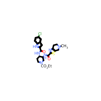 CCOC(=O)N1CC[C@H](NC(=O)c2cc3cc(Cl)ccc3[nH]2)C(NC(=O)c2nc3c(s2)CN(C)CC3)C1